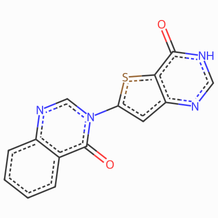 O=c1[nH]cnc2cc(-n3cnc4ccccc4c3=O)sc12